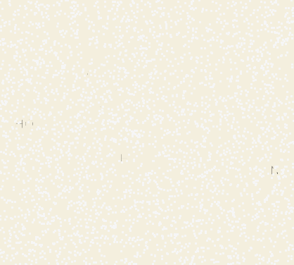 CC12CC3C4=CC=C(c5cccnc5)[C@@]4(C)CCC3[C@H]3CC[C@H](O)CC31O2